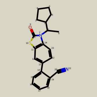 CC(C1CCCC1)n1c(=O)sc2cc(-c3ccccc3C#N)ccc21